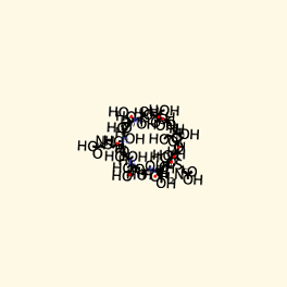 N[C@H](CSCC[C@H]1O[C@H](O)/C(O)=C(\O)[C@@H](CCO)O[C@H](O)/C(O)=C(\O)[C@@H](CCO)O[C@H]2OC(CSC[C@@H](N)C(=O)O)[C@@H](O[C@@H]3C[C@@H](O)[C@H](O[C@H]4OC(CO)[C@@H](O[C@@H](O)/C(O)=C(\O)[C@@H](CCO)O[C@H](O)/C(O)=C/1O)C(O)C4O)C(CO)O3)[C@H](O)C2O)C(=O)O